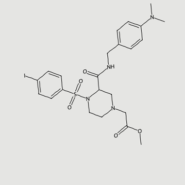 COC(=O)CN1CCN(S(=O)(=O)c2ccc(I)cc2)C(C(=O)NCc2ccc(N(C)C)cc2)C1